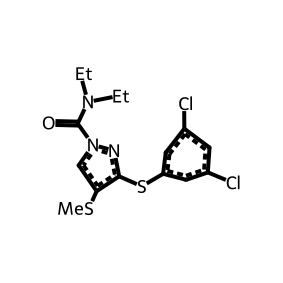 CCN(CC)C(=O)n1cc(SC)c(Sc2cc(Cl)cc(Cl)c2)n1